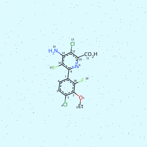 CCOc1c(Cl)ccc(-c2nc(C(=O)O)c(Cl)c(N)c2F)c1F